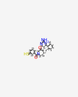 Cc1cccc(C)c1C1=NC(N)=N[C@H](O[C@H]2CCCCN(C(=O)c3cccc(S)c3)C2)C1